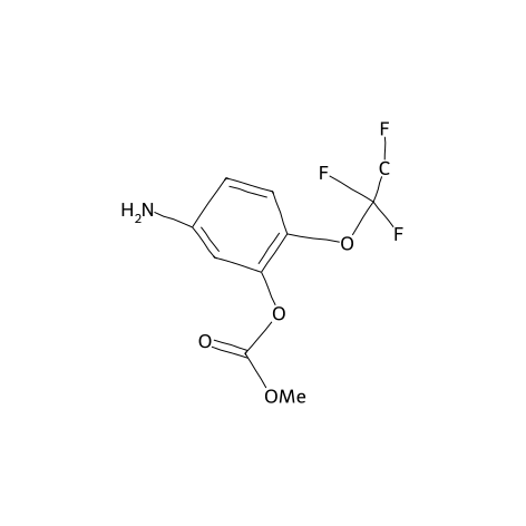 COC(=O)Oc1cc(N)ccc1OC(F)(F)CF